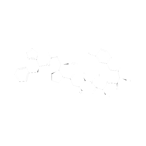 CC[C@H](C)[C@@H]([C@H](CC(=O)N1CCC[C@H]1[C@H](OC)[C@@H](C)C(=O)N[C@@H](Cc1ccccc1)c1nccs1)OC)N(C)C(=O)[C@@H](NC(=O)[C@H](C(C)C)N(C)Cc1cccc(N)c1)C(C)C